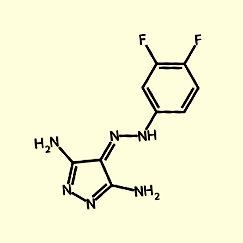 NC1=NN=C(N)C1=NNc1ccc(F)c(F)c1